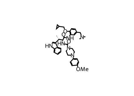 COc1ccc(N2CCN(C(=O)N[C@@H](C(=O)Nc3cc(CN(C)C)ccc3OCC3CC3)[C@@H](C)c3c[nH]c4ccccc34)CC2)cc1